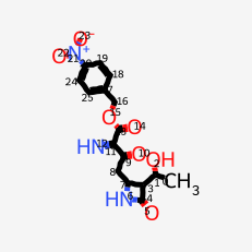 CC(O)C1C(=O)NC1CC(=O)C(=N)C(=O)OCc1ccc([N+](=O)[O-])cc1